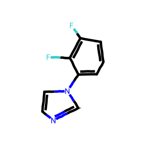 Fc1cccc(-n2[c]ncc2)c1F